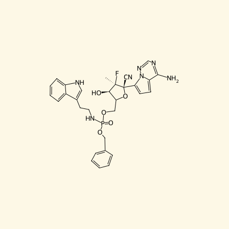 C[C@@]1(F)[C@H](O)C(COP(=O)(NCCc2c[nH]c3ccccc23)OCc2ccccc2)O[C@@]1(C#N)c1ccc2c(N)ncnn12